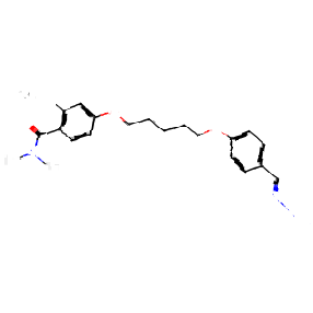 COc1cc(OCCCCCOc2ccc(C=NN)cc2)ccc1C(=O)N(C(C)C)C(C)C.Cl